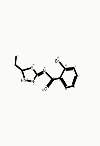 CCC1N[N]C(=NC(=O)c2ccccc2Br)S1